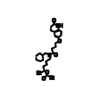 CCC(=O)OC(CC)CCCCN(CC1CCCCC1)C(=O)CCCOc1ccc2c(c1)CCC(=O)N2